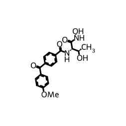 COc1ccc(C(=O)c2ccc(C(=O)N[C@H](C(=O)NO)[C@@H](C)O)cc2)cc1